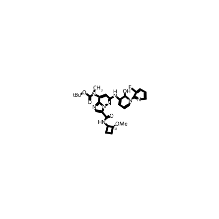 CO[C@H]1CCC1NC(=O)c1cnc2c(N(C)C(=O)OC(C)(C)C)cc(NC3=CC=CN(c4ncccc4F)C3O)nn12